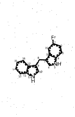 Fc1ccc2[nH]cc(Cc3c[nH]c4ccccc34)c2c1